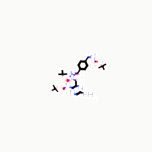 Bc1cnc(N(C(=O)OC(C)(C)C)C(=O)OC(C)(C)C)c(-c2nnc(-c3ccc(CN(C)C(=O)OC(C)(C)C)cc3)o2)n1